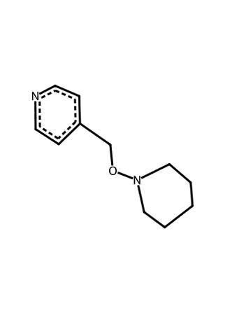 c1cc(CON2CCCCC2)ccn1